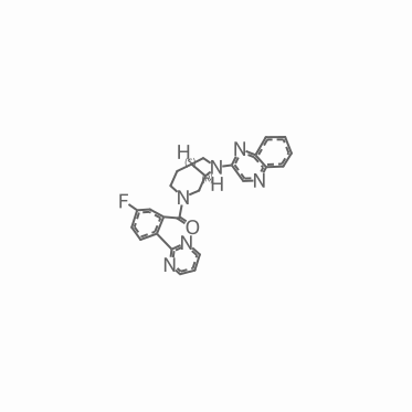 O=C(c1cc(F)ccc1-c1ncccn1)N1CC[C@H]2CN(c3cnc4ccccc4n3)[C@H]2C1